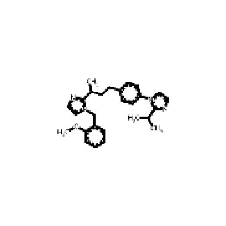 COc1ccccc1Cn1ccnc1C(C)CCc1ccc(-n2ccnc2C(C)C)cc1